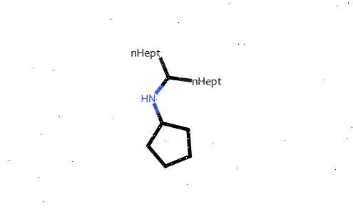 CCCCCCCC(CCCCCCC)NC1CCCC1